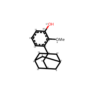 COc1c(C23CC4CC(CC(C4)C2)C3)[c]ccc1O